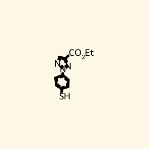 CCOC(=O)c1cnn(-c2ccc(S)cc2)n1